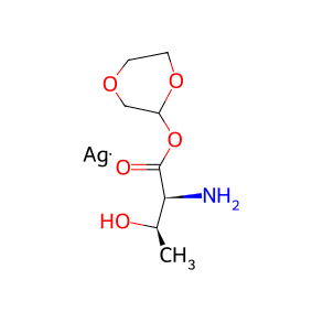 C[C@@H](O)[C@H](N)C(=O)OC1COCCO1.[Ag]